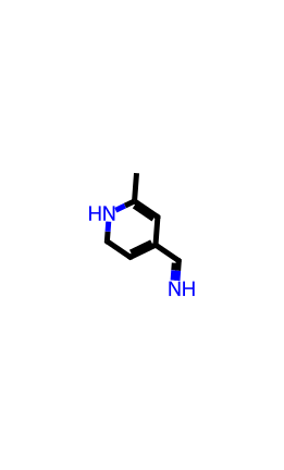 CC1=CC(C=N)=CCN1